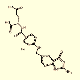 Nc1nc(=O)c2nc(CNc3ccc(C(=O)N[C@@H](CCC(=O)O)C(=O)O)cc3)cnc2[nH]1.[Fe]